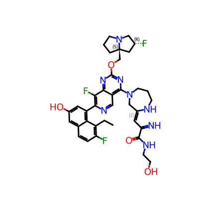 CCc1c(F)ccc2cc(O)cc(-c3ncc4c(N5CCCN/C(=C\C(=N)C(=O)NCCO)C5)nc(OC[C@@]56CCCN5C[C@H](F)C6)nc4c3F)c12